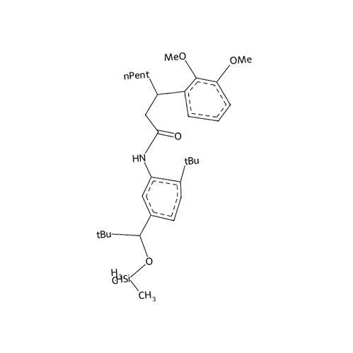 CCCCCC(CC(=O)Nc1cc(C(O[SiH](C)C)C(C)(C)C)ccc1C(C)(C)C)c1cccc(OC)c1OC